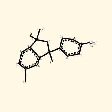 Cc1ccc2c(c1)C(C)(c1ccc(O)cc1)CC2(C)C